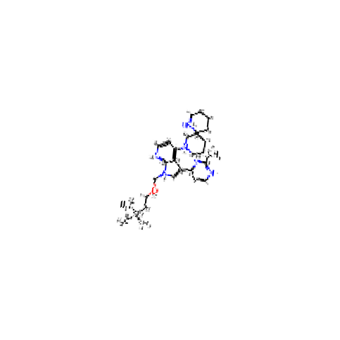 Cc1nccc(-c2cn(COCC[Si](C)(C)C)c3nccc(N4CCCC5(CCCCN5)C4)c23)n1